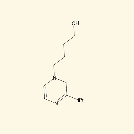 CC(C)C1=NC=CN(CCCCO)C1